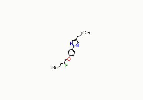 CCCCCCCCCCCCc1cnc(-c2ccc(OCC(F)CCC(C)CC)cc2)nc1